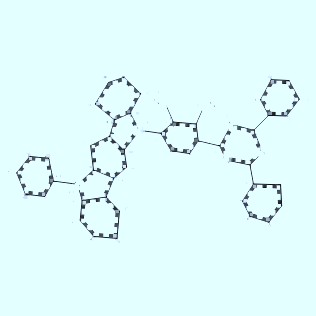 N#Cc1c(-c2nc(-c3ccccc3)nc(-c3ccccc3)n2)ccc(-n2c3ccccc3c3cc4c(cc32)c2ccccc2n4-c2ccccc2)c1C#N